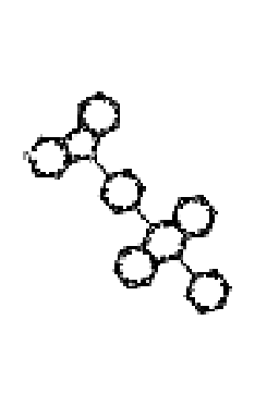 c1ccc(-c2c3ccccc3c(-c3ccc(-n4c5ccccc5c5cnccc54)cc3)c3ccccc23)cc1